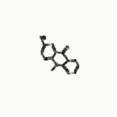 Cn1c2ccccc2c(=O)c2cc(N=O)ccc21